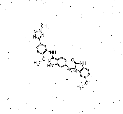 COc1ccc2c(c1)[C@]1(C[C@H]1c1ccc3c(Nc4cc(-c5nnn(C)n5)ccc4OC)n[nH]c3c1)C(=O)N2